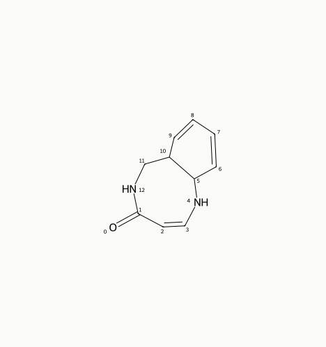 O=C1/C=C\NC2C=CC=CC2CN1